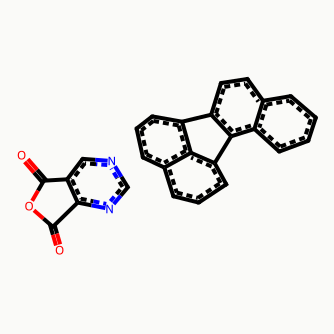 O=C1OC(=O)c2ncncc21.c1ccc2c3c(ccc2c1)-c1cccc2cccc-3c12